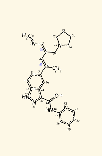 C=N/C=C(\C=C(/C)c1ccc2[nH]nc(C(=O)Nc3cnccn3)c2c1)CN1CCCC1